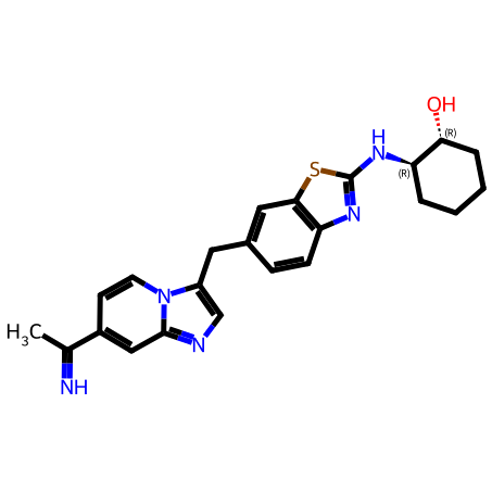 CC(=N)c1ccn2c(Cc3ccc4nc(N[C@@H]5CCCC[C@H]5O)sc4c3)cnc2c1